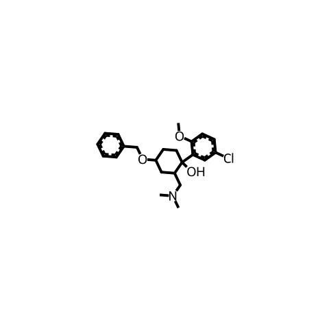 COc1ccc(Cl)cc1C1(O)CCC(OCc2ccccc2)CC1CN(C)C